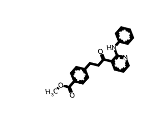 COC(=O)c1ccc(CCC(=O)c2cccnc2Nc2ccccc2)cc1